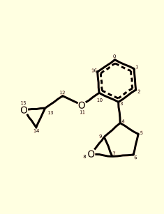 c1ccc(C2CCC3OC32)c(OCC2CO2)c1